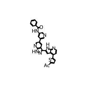 CC(=O)c1ccc(-c2ccnc3[nH]c(-c4n[nH]c5ncc(-c6cncc(NC(=O)c7ccccc7)c6)cc45)cc23)s1